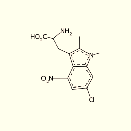 Cc1c(CC(N)C(=O)O)c2c([N+](=O)[O-])cc(Cl)cc2n1C